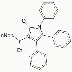 CCCCCCCCCC(CC)n1c(-c2ccccc2)c(-c2ccccc2)n(-c2ccccc2)c1=O